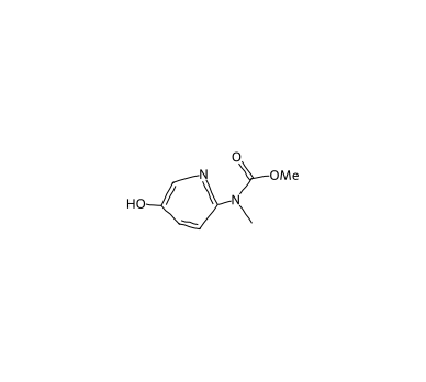 COC(=O)N(C)c1ccc(O)cn1